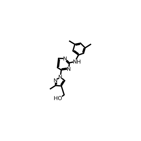 Cc1cc(C)cc(Nc2nccc(-n3cc(CO)c(C)n3)n2)c1